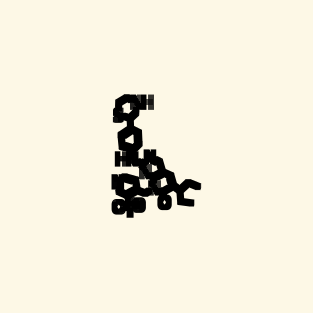 CCC(CC)c1cc2cnc(Nc3ccc(C4CNCCS4)cc3)nc2n(Cc2ccncc2S(C)(=O)=O)c1=O